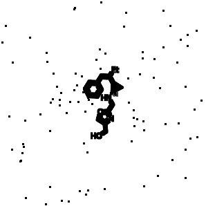 CCC(=Cc1ccccc1)C1C[C@@H]1NCc1nc(CO)co1